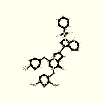 COc1ccc(Cn2cc(Cc3ccc([N+](=O)[O-])cc3)n3cc(-c4cn(S(=O)(=O)c5ccccc5)c5ncccc45)cc3c2=O)c(OC)c1